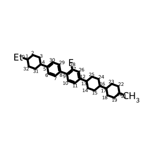 CCC1CCC(c2ccc(-c3ccc(C4CCC(C5CCC(C)CC5)CC4)cc3F)cc2)CC1